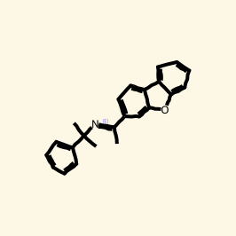 C/C(=N\C(C)(C)c1ccccc1)c1ccc2c(c1)oc1ccccc12